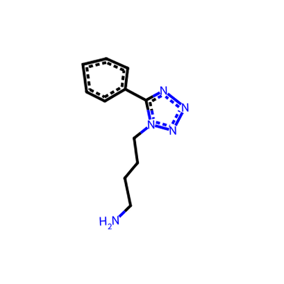 NCCCCn1nnnc1-c1ccccc1